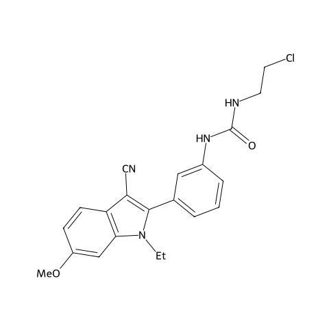 CCn1c(-c2cccc(NC(=O)NCCCl)c2)c(C#N)c2ccc(OC)cc21